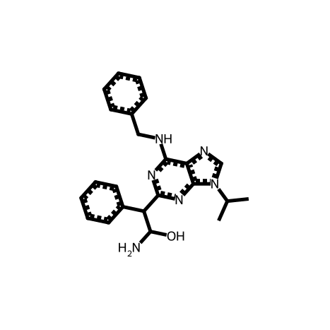 CC(C)n1cnc2c(NCc3ccccc3)nc(C(c3ccccc3)C(N)O)nc21